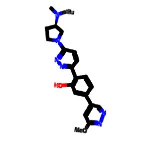 COc1cc(-c2ccc(-c3ccc(N4CC[C@@H](N(C)C(C)(C)C)C4)nn3)c(O)c2)cnn1